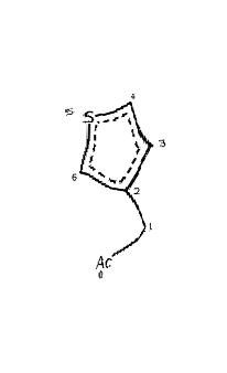 CC(=O)[CH]c1ccsc1